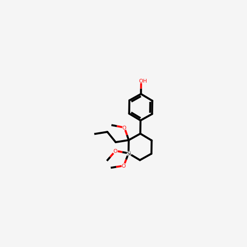 CCCC1(OC)C(c2ccc(O)cc2)CCC[Si]1(OC)OC